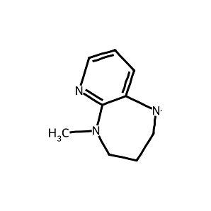 CN1CCC[N]c2cccnc21